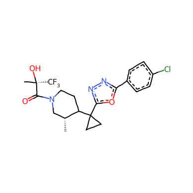 C[C@@H]1CN(C(=O)[C@@](C)(O)C(F)(F)F)CCC1C1(c2nnc(-c3ccc(Cl)cc3)o2)CC1